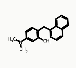 Cc1cc(N(C)C)ccc1Cc1cccc2ccccc12